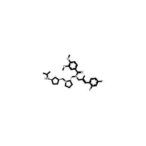 COc1ccc(C(=O)N(C/C(C)=C/c2ccc(F)cc2F)C[C@@H]2CCCN2C[C@H]2CC[C@@H](NC(C)C)C2)cc1OC